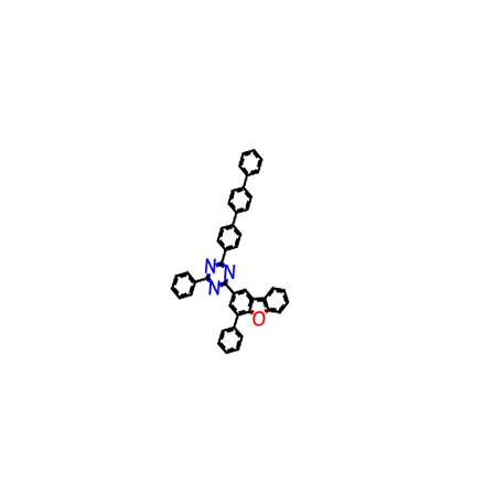 c1ccc(-c2ccc(-c3ccc(-c4nc(-c5ccccc5)nc(-c5cc(-c6ccccc6)c6oc7ccccc7c6c5)n4)cc3)cc2)cc1